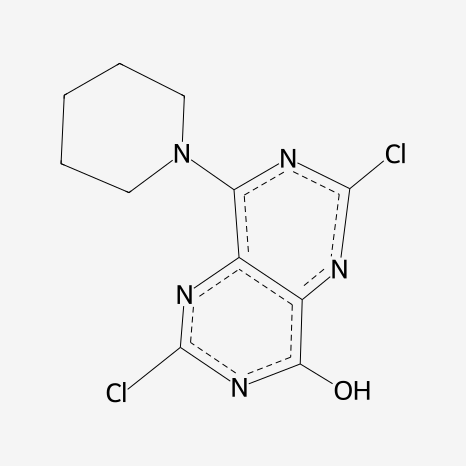 Oc1nc(Cl)nc2c(N3CCCCC3)nc(Cl)nc12